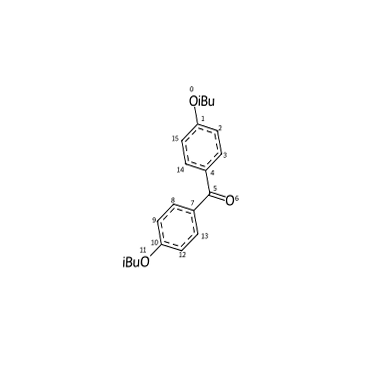 CC(C)COc1ccc(C(=O)c2ccc(OCC(C)C)cc2)cc1